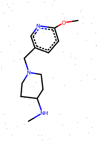 CNC1CCN(Cc2ccc(OC)nc2)CC1